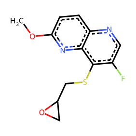 COc1ccc2ncc(F)c(SCC3CO3)c2n1